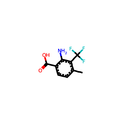 Cc1ccc(C(=O)O)c(N)c1C(F)(F)F